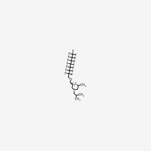 CC(C)CP(CCCOCC(F)(F)C(F)(F)C(F)(F)C(F)(F)C(F)(F)C(F)(F)C(F)(F)F)CC(C)C